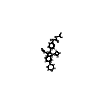 CC(C)OC(=O)Nc1ccc(-c2c(C#N)c3ccc(N4CCOCC4)cc3n2C2CCC2)cc1